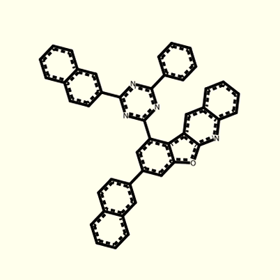 c1ccc(-c2nc(-c3ccc4ccccc4c3)nc(-c3cc(-c4ccc5ccccc5c4)cc4oc5nc6ccccc6cc5c34)n2)cc1